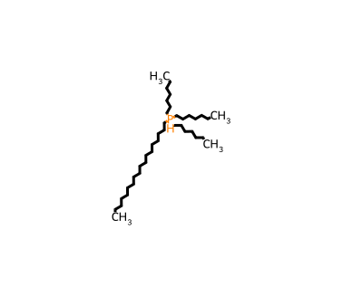 CCCCCCCCCCCCCCCCCC[PH](CCCCCCC)(CCCCCCC)CCCCCCC